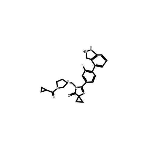 O=C(C1CC1)N1CC[C@@H](CN2C(=O)C3(CC3)N=C2c2ccc(-c3cccc4c3CNN4)c(F)c2)C1